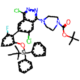 CC(C)(C)OC(=O)N1CCN(c2nnc(Cl)c3cc(-c4c(F)cccc4O[Si](c4ccccc4)(c4ccccc4)C(C)(C)C)c(Cl)cc23)CC1